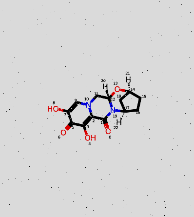 O=C1c2c(O)c(=O)c(O)cn2C[C@@H]2O[C@H]3CC[C@H](C3)N12